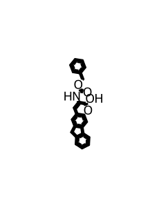 O=C(N/C(=C/c1ccc2c(c1)Cc1ccccc1-2)C(=O)O)OCc1ccccc1